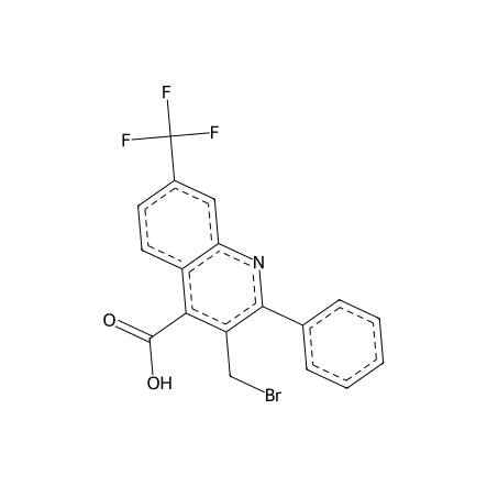 O=C(O)c1c(CBr)c(-c2ccccc2)nc2cc(C(F)(F)F)ccc12